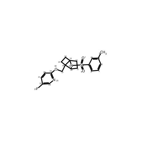 Cc1cccc(S(=O)(=O)N2C3CCC24CCC34COc2ccc(F)cn2)c1